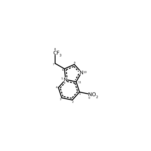 O=[N+]([O-])c1cccn2c(CC(F)(F)F)cnc12